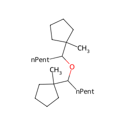 CCCCCC(OC(CCCCC)C1(C)CCCC1)C1(C)CCCC1